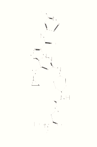 CN(C)C(=O)CNC(=O)NC1CCC(Nc2cc(NC3CC3)c3ncc(C(=O)Nc4ccnc(Cl)c4)n3n2)CC1